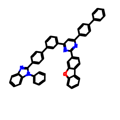 c1ccc(-c2ccc(-c3cc(-c4cccc(-c5ccc(-c6nc7ccccc7n6-c6ccccc6)cc5)c4)nc(-c4ccc5c(c4)oc4ccccc45)n3)cc2)cc1